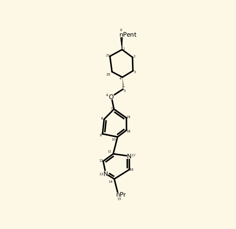 CCCCC[C@H]1CC[C@H](COc2ccc(-c3cnc(CCC)cn3)cc2)CC1